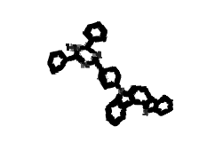 c1ccc(C2=NC(c3ccc(-n4c5ccccc5c5c6sc7ccccc7c6ccc54)cc3)=NC(c3ccccc3)N2)cc1